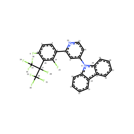 Fc1ccc(-c2cc(-n3c4ccccc4c4ccccc43)ccn2)c(F)c1C(F)(C(F)(F)F)C(F)(F)F